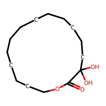 O=C1OCCCCCCCCCCCCCC1(O)O